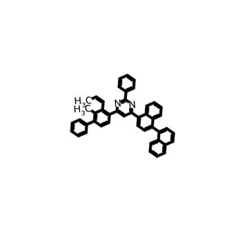 C/C=C\c1c(-c2cc(-c3ccc(-c4cccc5ccccc45)c4ccccc34)nc(-c3ccccc3)n2)ccc(-c2ccccc2)c1C